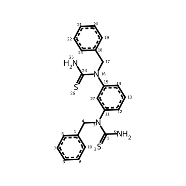 NC(=S)N(Cc1ccccc1)c1cccc(N(Cc2ccccc2)C(N)=S)c1